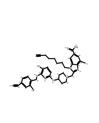 C#CCCCCCCn1c(CN2CCC(Oc3ccc(F)c(OCc4ccc(C#N)cc4F)n3)CC2)nc2c(F)cc(C(=O)O)cc21